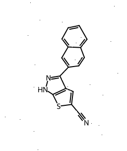 N#Cc1cc2c(-c3ccc4ccccc4c3)n[nH]c2s1